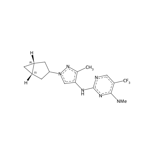 CNc1nc(Nc2cn(C3C[C@@H]4C[C@@H]4C3)nc2C)ncc1C(F)(F)F